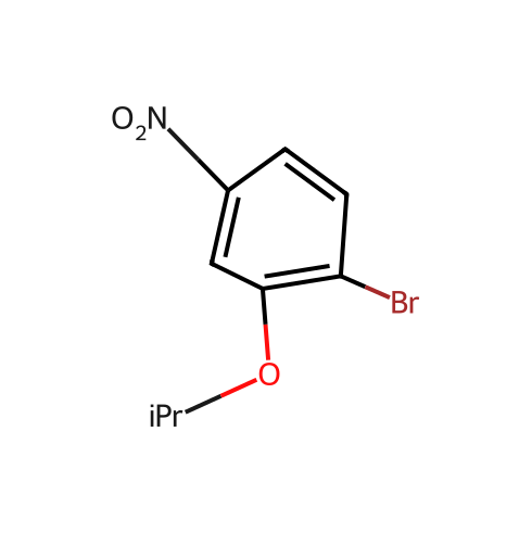 CC(C)Oc1cc([N+](=O)[O-])ccc1Br